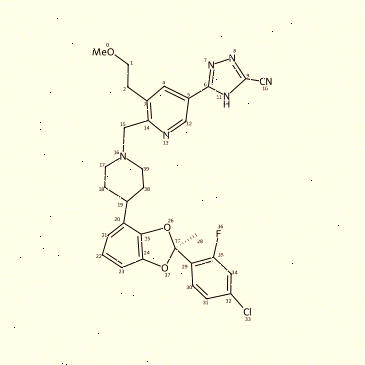 COCCc1cc(-c2nnc(C#N)[nH]2)cnc1CN1CCC(c2cccc3c2O[C@@](C)(c2ccc(Cl)cc2F)O3)CC1